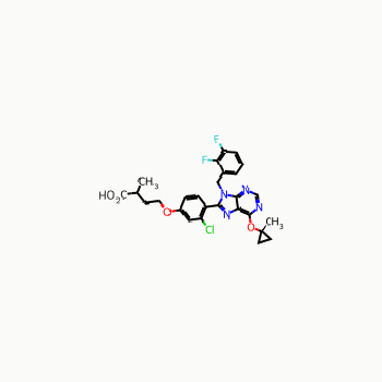 CC(CCOc1ccc(-c2nc3c(OC4(C)CC4)ncnc3n2Cc2cccc(F)c2F)c(Cl)c1)C(=O)O